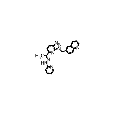 CC(=NNc1ccccn1)c1ccc2nnn(Cc3ccc4ncccc4c3)c2n1